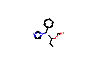 CCC(C)OC=O.c1ccc(Cn2ccnc2)cc1